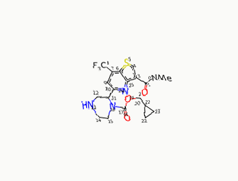 CNC(=O)c1csc2c(C(F)(F)F)cc(C3CNCCN3C(=O)OCC3CC3)nc12